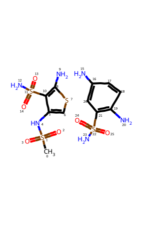 CS(=O)(=O)Nc1csc(N)c1S(N)(=O)=O.Nc1ccc(N)c(S(N)(=O)=O)c1